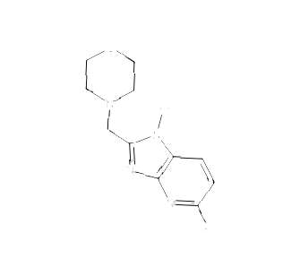 O=C(O)n1c(CN2CCOCC2)nc2nc(Cl)ccc21